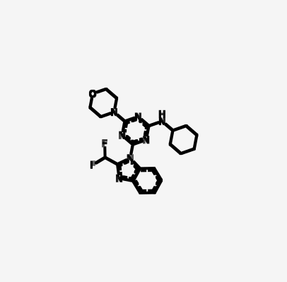 FC(F)c1nc2ccccc2n1-c1nc(NC2CCCCC2)nc(N2CCOCC2)n1